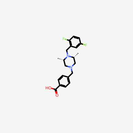 C[C@@H]1CN(Cc2ccc(C(=O)O)cc2)C[C@H](C)N1Cc1cc(F)ccc1F